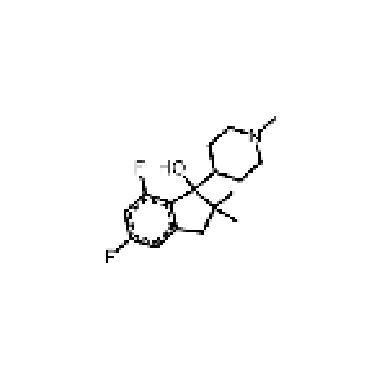 CN1CCC(C2(O)c3c(F)cc(F)cc3CC2(C)C)CC1